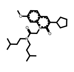 COc1ccc2cc(C3CCCC3)c(=O)n(CC(=O)N(CCC(C)C)CCC(C)C)c2c1